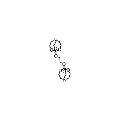 C(CO[Si]12OCCN(CCO1)CCO2)O[Si]12OCCN(CCO1)CCO2